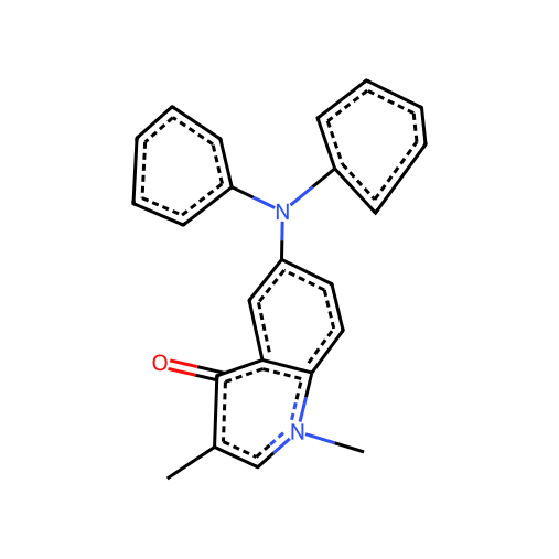 Cc1cn(C)c2ccc(N(c3ccccc3)c3ccccc3)cc2c1=O